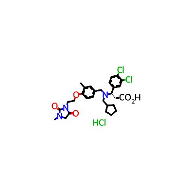 Cc1cc(CN(CC2CCCC2)[C@@H](CC(=O)O)c2ccc(Cl)c(Cl)c2)ccc1OCCN1C(=O)CN(C)C1=O.Cl